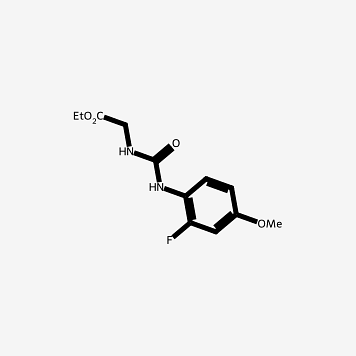 CCOC(=O)CNC(=O)Nc1ccc(OC)cc1F